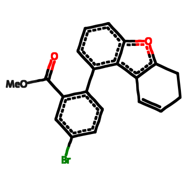 COC(=O)c1cc(Br)ccc1-c1cccc2oc3c(c12)C=CCC3